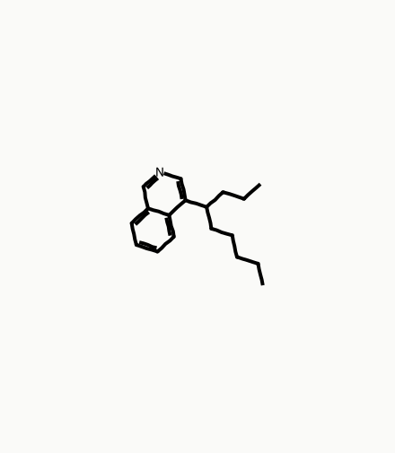 CCCCCC(CCC)c1cncc2ccccc12